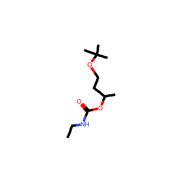 CCNC(=O)OC(C)CCOC(C)(C)C